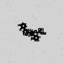 Cc1cccc(C(CC(=O)O)NC(=O)c2cc(OCC(O)C(C)(C)C)n(-c3ccccc3F)n2)c1C